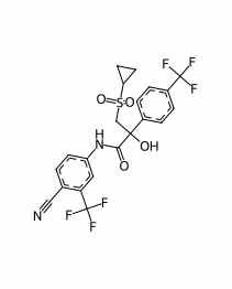 N#Cc1ccc(NC(=O)C(O)(CS(=O)(=O)C2CC2)c2ccc(C(F)(F)F)cc2)cc1C(F)(F)F